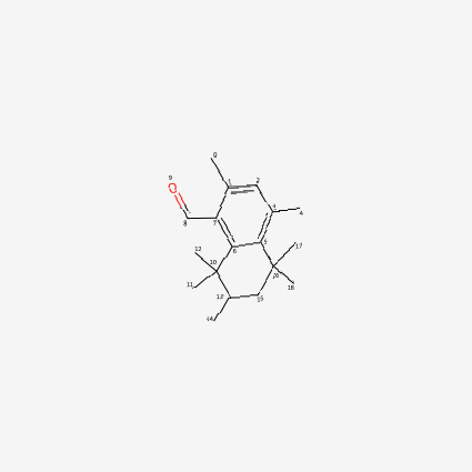 Cc1cc(C)c2c(c1C=O)C(C)(C)C(C)CC2(C)C